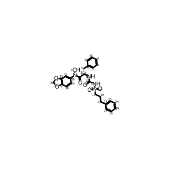 CN(C(=O)[C@H](Cc1ccccc1)NC(=O)NS(=O)(=O)CCCc1ccccc1)c1ccc2c(c1)OCO2